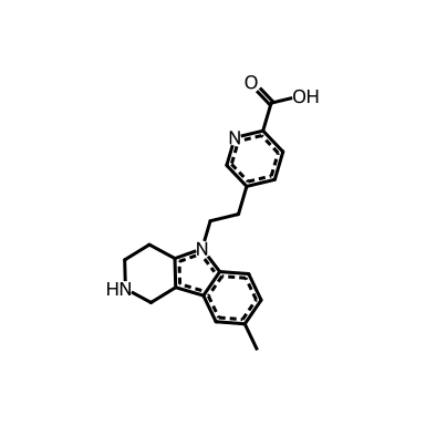 Cc1ccc2c(c1)c1c(n2CCc2ccc(C(=O)O)nc2)CCNC1